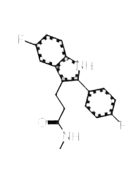 CNC(=O)CCc1c(-c2ccc(F)cc2)[nH]c2ccc(F)cc12